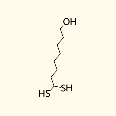 OCCCCCCCC(S)S